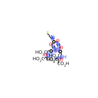 O=C(O)CCC(NC(=O)NC(Cc1ccc(NC(=O)N2CCN(C(=O)c3cc(C(=O)N4CCN(C(=O)Nc5ccc(C[C@H](NC(=O)N[C@@H](CCC(=O)O)C(=O)O)C(=O)O)cc5)CC4)cc(-n4cc(CCCF)nn4)c3)CC2)cc1)C(=O)O)C(=O)O